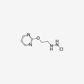 ClNNCCOc1ncccn1